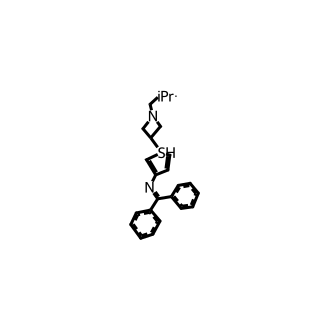 C[C](C)CN1CC([SH]2C=CC(N=C(c3ccccc3)c3ccccc3)=C2)C1